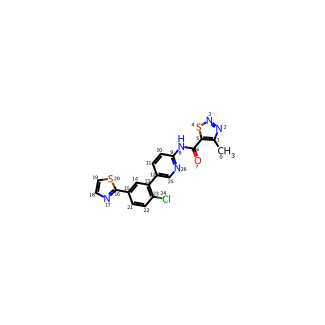 Cc1nnsc1C(=O)Nc1ccc(-c2cc(-c3nccs3)ccc2Cl)cn1